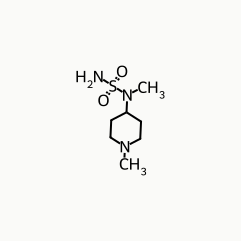 CN1CCC(N(C)S(N)(=O)=O)CC1